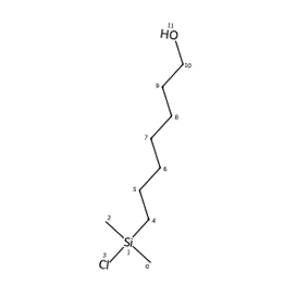 C[Si](C)(Cl)CCCCCCCO